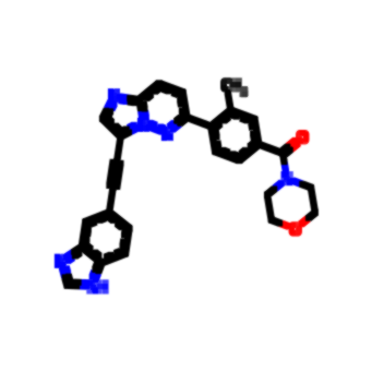 Cc1cc(C(=O)N2CCOCC2)ccc1-c1ccc2ncc(C#Cc3ccc4[nH]cnc4c3)n2n1